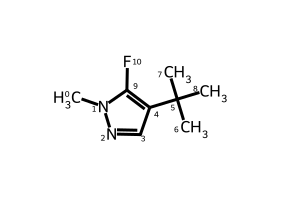 Cn1ncc(C(C)(C)C)c1F